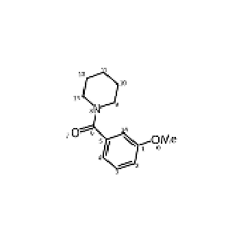 [CH2]Oc1cccc(C(=O)N2CCCCC2)c1